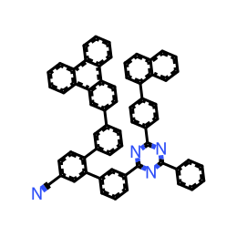 N#Cc1ccc(-c2cccc(-c3ccc4c5ccccc5c5ccccc5c4c3)c2)c(-c2cccc(-c3nc(-c4ccccc4)nc(-c4ccc(-c5cccc6ccccc56)cc4)n3)c2)c1